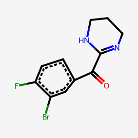 O=C(C1=NCCCN1)c1ccc(F)c(Br)c1